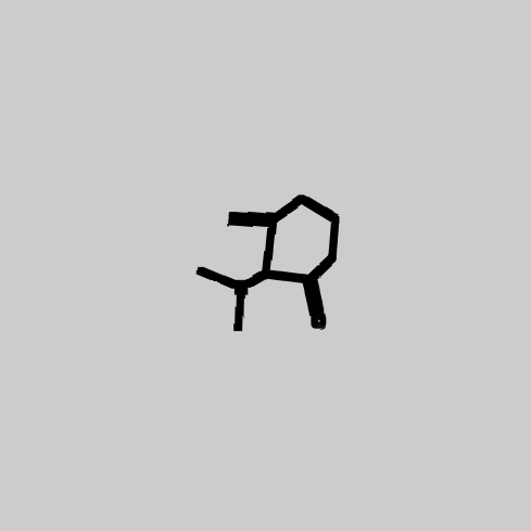 C=C1CCCC(=O)C1N(C)C